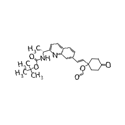 C[C@@H](NC(=O)OC(C)(C)C)c1ccc2ccc(/C=C/C3(OC=O)CCC(=O)CC3)cc2n1